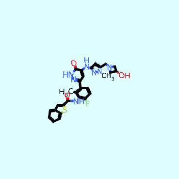 Cc1c(-c2cc(Nc3cc(CN4CC(O)C4)n(C)n3)c(=O)[nH]n2)ccc(F)c1NC(=O)c1cc2ccccc2s1